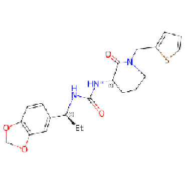 CC[C@H](NC(=O)N[C@H]1CCCN(Cc2cccs2)C1=O)c1ccc2c(c1)OCO2